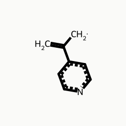 [CH2]C(=C)c1ccncc1